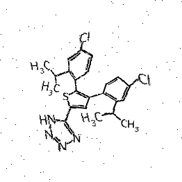 CC(C)c1cc(Cl)ccc1-c1cc(-c2nnn[nH]2)sc1-c1ccc(Cl)cc1C(C)C